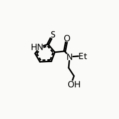 CCN(CCO)C(=O)c1ccc[nH]c1=S